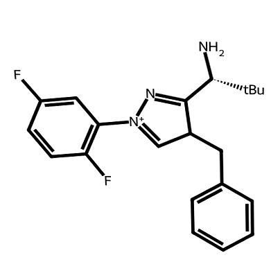 CC(C)(C)[C@@H](N)C1=N[N+](c2cc(F)ccc2F)=CC1Cc1ccccc1